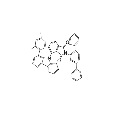 Cc1ccc(-c2cccc3c4ccccc4n(-c4cccc5c4C(=O)N(c4cc(-c6ccccc6)ccc4-c4ccccc4)C5=O)c23)c(C)c1